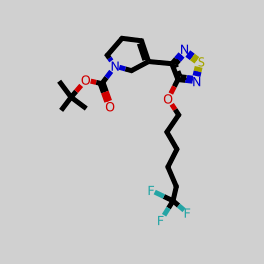 CC(C)(C)OC(=O)N1CCC=C(c2nsnc2OCCCCCC(F)(F)F)C1